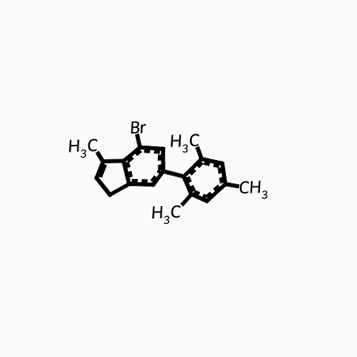 CC1=CCc2cc(-c3c(C)cc(C)cc3C)cc(Br)c21